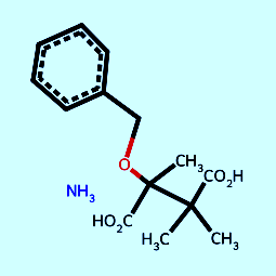 CC(C)(C(=O)O)C(C)(OCc1ccccc1)C(=O)O.N